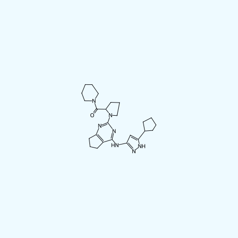 O=C(C1CCCN1c1nc2c(c(Nc3cc(C4CCCC4)[nH]n3)n1)CCC2)N1CCCCC1